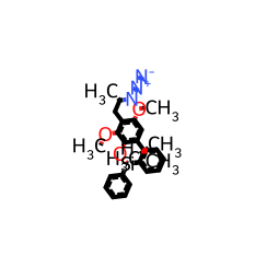 COc1cc(C(C)(C)C)c(O[SiH](c2ccccc2)c2ccccc2)c(OC)c1CC(C)N=[N+]=[N-]